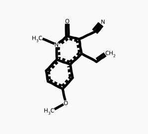 C=Cc1c(C#N)c(=O)n(C)c2ccc(OC)cc12